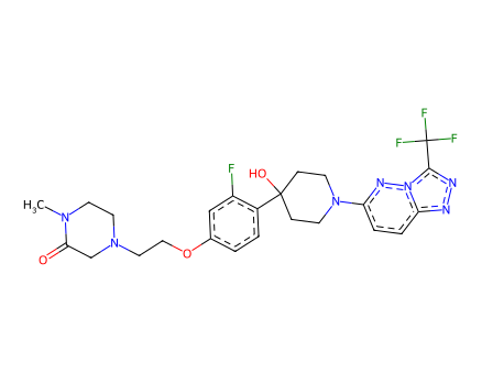 CN1CCN(CCOc2ccc(C3(O)CCN(c4ccc5nnc(C(F)(F)F)n5n4)CC3)c(F)c2)CC1=O